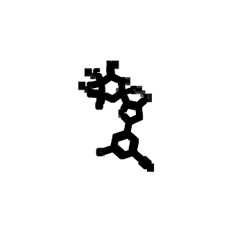 CC1(C)C(=N)N[C@](C)(C2=C(Cl)CC(c3cc(Cl)cc(C#N)c3)S2)CS1(=O)=O